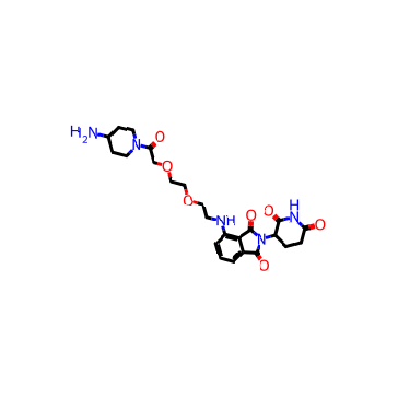 NC1CCN(C(=O)COCCOCCNc2cccc3c2C(=O)N(C2CCC(=O)NC2=O)C3=O)CC1